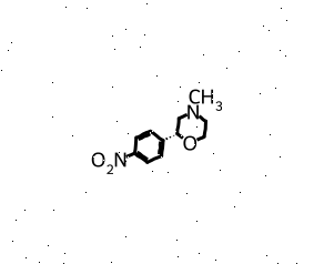 CN1CCO[C@H](c2ccc([N+](=O)[O-])cc2)C1